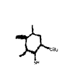 C=C1C(C)CC(C(C)(C)C)C(S)C1C